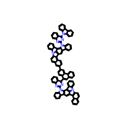 c1ccc2c(c1)cc(-c1nc(-n3c4ccccc4c4cc5c6c7ccccc7ccc6n6c7ccccc7c(c43)c56)nc3ccccc13)c1ccc(-c3ccc4c(ccc5c4c4cc6c7ccccc7n(-c7nc(-n8c9ccccc9c9ccccc98)c8ccccc8n7)c6c6c7ccccc7n5c46)c3)cc12